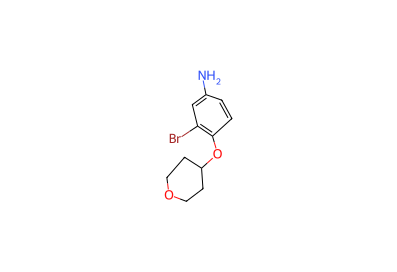 Nc1ccc(OC2CCOCC2)c(Br)c1